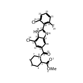 COC(=O)C1CCCCN1C(=O)c1cc(Cl)c2[nH]c(-c3c(F)cccc3Cl)nc2c1